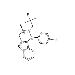 C[C@@H]1Cc2sc3ccccc3c2[C@H](c2ccc(I)cc2)N1CC(C)(C)F